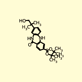 CC(C)(CO)c1ccc2c(c1)NC(=O)c1ccc(B3OC(C)(C)C(C)(C)O3)cc1N2